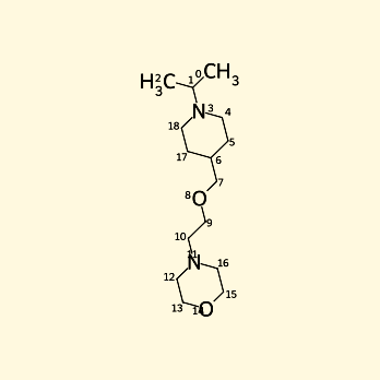 CC(C)N1CCC(COCCN2CCOCC2)CC1